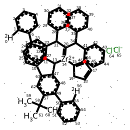 [2H]c1ccccc1-c1ccc2c(c1)[CH]([Zr+2]([C]1=CC=CC1)=[C](C(c1ccccc1)c1ccccc1)C(c1ccccc1)c1ccccc1)c1cc(-c3ccccc3[2H])c(C(C)(C)C)cc1-2.[Cl-].[Cl-]